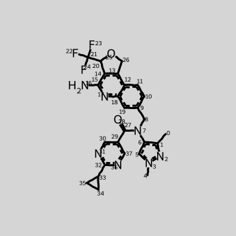 Cc1nn(C)cc1N(Cc1ccc2c3c(c(N)nc2c1)C(C(F)(F)F)OC3)C(=O)c1cnc(C2CC2)nc1